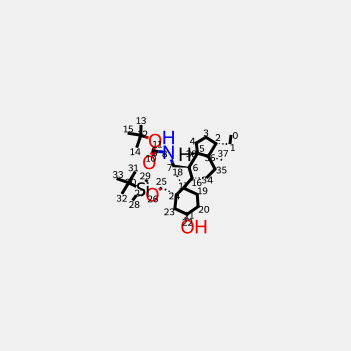 CC[C@H]1CC[C@H]2[C@H](CNC(=O)OC(C)(C)C)[C@@H]([C@@]3(C)CC[C@H](O)C[C@@H]3CO[Si](C)(C)C(C)(C)C)CC[C@]12C